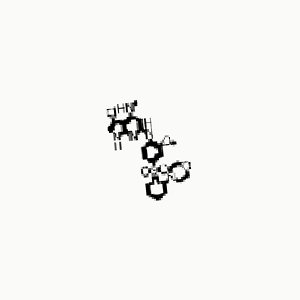 CNc1cc(Nc2ccc(S(=O)(=O)N3CCCCC3N3CCOCC3)cc2OC)nc2[nH]cc(Cl)c12